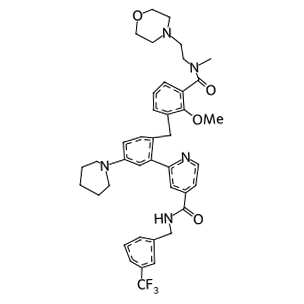 COc1c(Cc2ccc(N3CCCCC3)cc2-c2cc(C(=O)NCc3cccc(C(F)(F)F)c3)ccn2)cccc1C(=O)N(C)CCN1CCOCC1